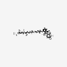 NC(=O)CCCNC(=O)CCOCCOCCOCCNc1cccc2c1C(=O)N(C1CCC(=O)NC1=O)C2=O